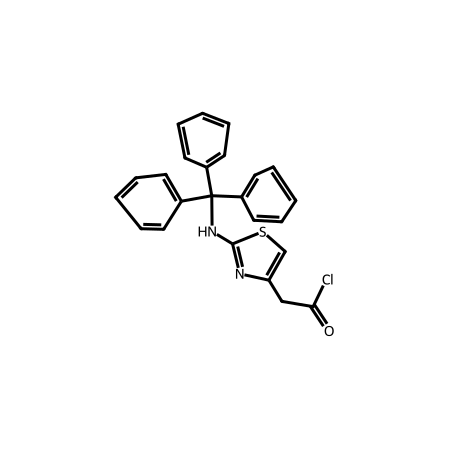 O=C(Cl)Cc1csc(NC(c2ccccc2)(c2ccccc2)c2ccccc2)n1